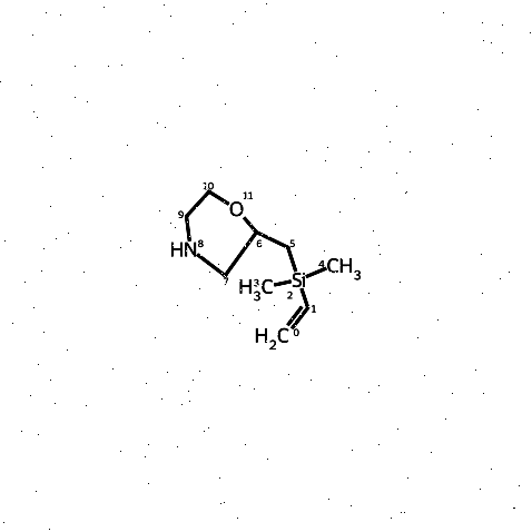 C=C[Si](C)(C)CC1CNCCO1